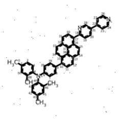 Cc1ccc(N(c2ccc(-c3ccc4ccc5c(-c6ccc(-c7ccncc7)cn6)ccc6ccc3c4c65)cc2)c2ccc(C)cc2C)c(C)c1